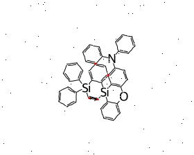 c1ccc(N(c2ccccc2)c2ccc3c(c2)[Si]2(c4ccccc4O3)c3ccccc3[Si](c3ccccc3)(c3ccccc3)c3ccccc32)cc1